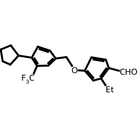 CCc1cc(OCc2ccc(C3CCCC3)c(C(F)(F)F)c2)ccc1C=O